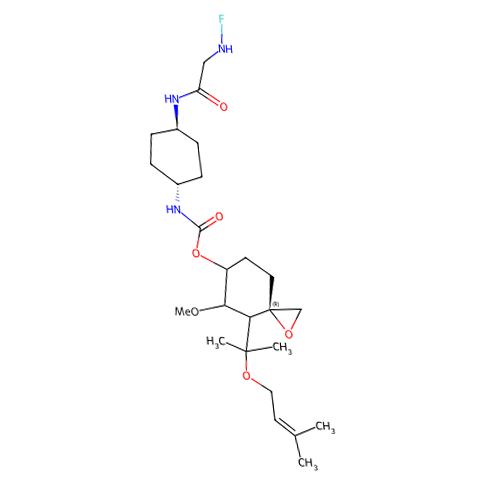 COC1C(OC(=O)N[C@H]2CC[C@H](NC(=O)CNF)CC2)CC[C@]2(CO2)C1C(C)(C)OCC=C(C)C